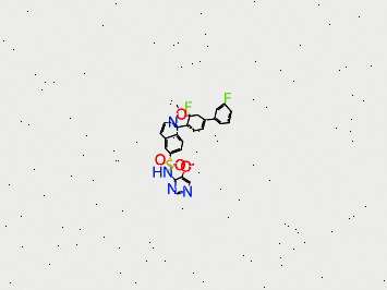 COc1cncnc1NS(=O)(=O)c1ccc2c(C3=CC=C(c4cccc(F)c4)CC3(F)OC)nccc2c1